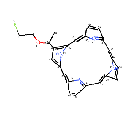 CC(OCCF)c1cc2cc3nc(cc4ccc(cc5nc(cc1[nH]2)C=C5)[nH]4)C=C3